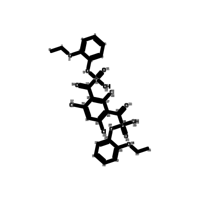 CCOc1ccccc1OP(=O)(O)C(=O)c1c(Cl)cc(Cl)c(C(=O)P(=O)(O)Oc2ccccc2OCC)c1Cl